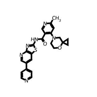 Cc1cc(N2CCOC3(CC3)C2)c(C(=O)Nc2nc3ncc(-c4ccncc4)cc3s2)cn1